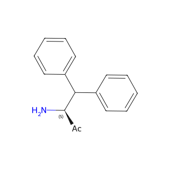 CC(=O)[C@@H](N)C(c1ccccc1)c1ccccc1